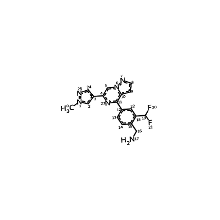 Cn1cc(-c2cn3nccc3c(-c3ccc(CN)c(C(F)F)c3)n2)cn1